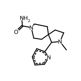 CN1CCC2(CCN(C(N)=O)CC2)C1c1ccccn1